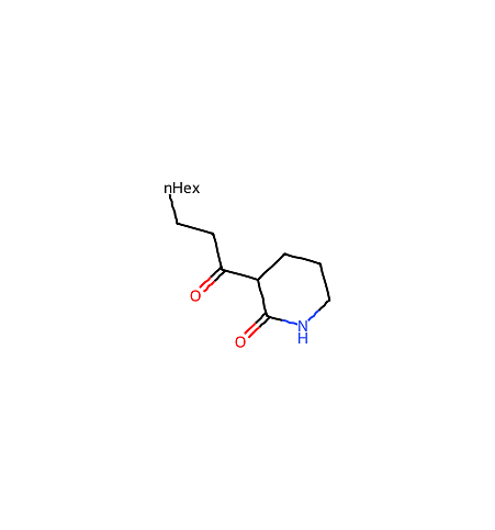 CCCCCCCCC(=O)C1CCCNC1=O